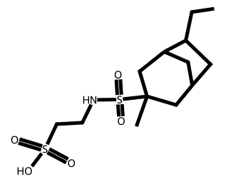 CCC1CC2CC1CC(C)(S(=O)(=O)NCCS(=O)(=O)O)C2